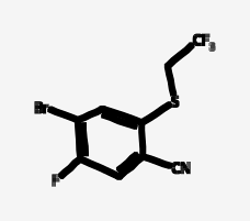 N#Cc1cc(F)c(Br)cc1SCC(F)(F)F